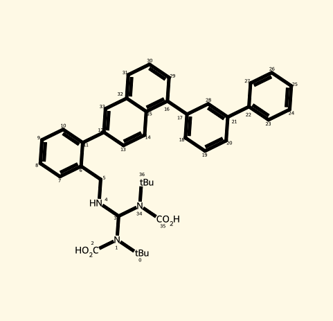 CC(C)(C)N(C(=O)O)C(NCc1ccccc1-c1ccc2c(-c3cccc(-c4ccccc4)c3)cccc2c1)N(C(=O)O)C(C)(C)C